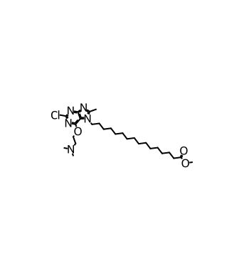 COC(=O)CCCCCCCCCCCCCCCn1c(C)nc2nc(Cl)nc(OCCN(C)C)c21